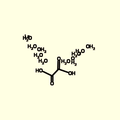 O.O.O.O.O.O.O.O.O.O.O=C(O)C(=O)O.[La]